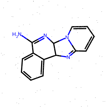 NC1=NC2C(N=C3C=CC=CN32)c2ccccc21